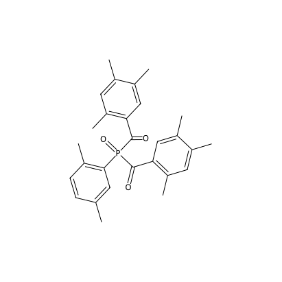 Cc1ccc(C)c(P(=O)(C(=O)c2cc(C)c(C)cc2C)C(=O)c2cc(C)c(C)cc2C)c1